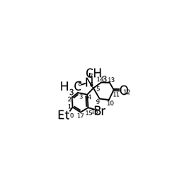 CCc1ccc(C2(N(C)C)CCC(=O)CC2)c(Br)c1